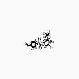 CCc1ccc(NC(=O)OC[C@H](C)N(C)C(=O)OC(C)(C)C)cc1